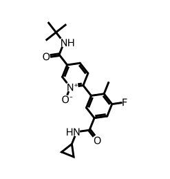 Cc1c(F)cc(C(=O)NC2CC2)cc1-c1ccc(C(=O)NC(C)(C)C)c[n+]1[O-]